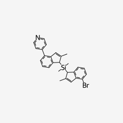 CC1=Cc2c(Br)cccc2C1[Si](C)(C)C1C(C)=Cc2c(-c3ccncc3)cccc21